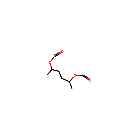 CC(CCC(C)OB=O)OB=O